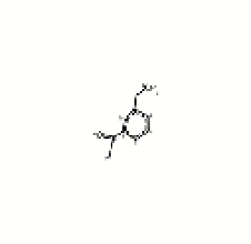 CCc1cccc(C(=O)I)c1